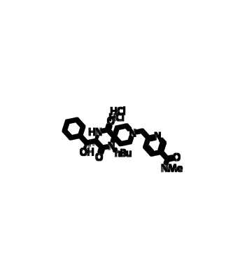 CCCCN1C(=O)[C@@H]([C@H](O)C2CCCCC2)NC(=O)C12CCN(Cc1ccc(C(=O)NC)cn1)CC2.Cl.Cl